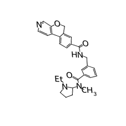 CCN1CCCC1N(C)C(=O)c1cccc(CNC(=O)c2ccc3c(c2)COc2cnccc2-3)c1